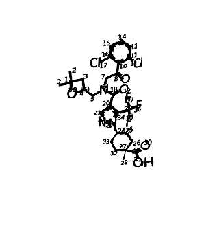 CC1(C)C[C@@H](CN(CC(=O)c2c(Cl)cccc2Cl)C(=O)c2cnn([C@H]3CC[C@](C)(C(=O)O)CC3)c2C(F)(F)F)O1